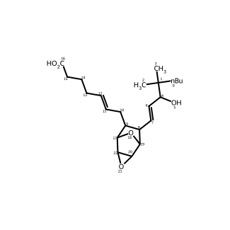 CCCCC(C)(C)C(O)/C=C/C1C(C/C=C/CCCC(=O)O)C2OC1C1OC21